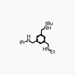 CCNCc1cc(CNC(C)C)cc(CNC(C)(C)C)c1